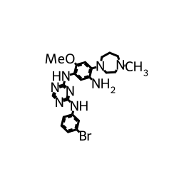 COc1cc(N2CCCN(C)CC2)c(N)cc1Nc1ncnc(Nc2cccc(Br)c2)n1